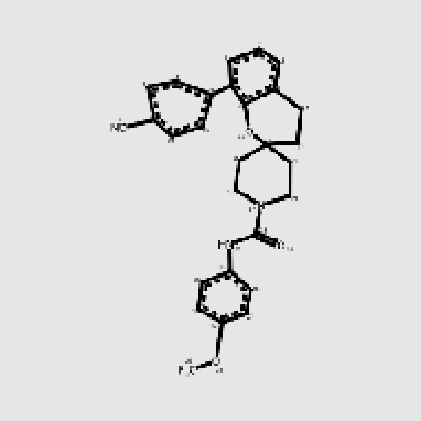 N#Cc1ccc(-c2cccc3c2OC2(CC3)CCN(C(=O)Nc3ccc(OC(F)(F)F)cc3)CC2)cc1